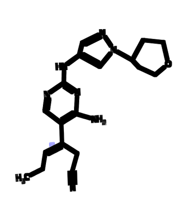 CC/C=C(\CC#N)c1cnc(Nc2cnn(C3CCOCC3)c2)nc1N